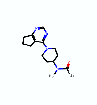 CN(C(=O)C(C)(C)C)C1CCN(c2ncnc3c2CCC3)CC1